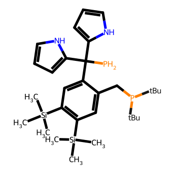 CC(C)(C)P(Cc1cc([Si](C)(C)C)c([Si](C)(C)C)cc1C(P)(c1ccc[nH]1)c1ccc[nH]1)C(C)(C)C